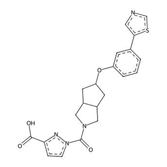 O=C(O)c1ccn(C(=O)N2CC3CC(Oc4cccc(-c5cncs5)c4)CC3C2)n1